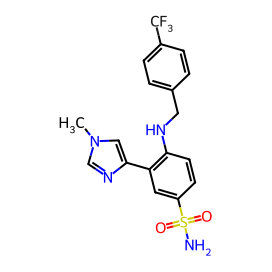 Cn1cnc(-c2cc(S(N)(=O)=O)ccc2NCc2ccc(C(F)(F)F)cc2)c1